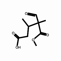 COC(=O)C(C)(C=O)C(C)CC(=O)O